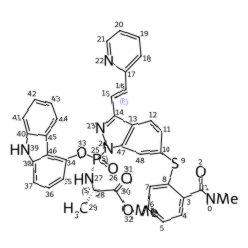 CNC(=O)c1ccccc1Sc1ccc2c(/C=C/c3ccccn3)nn([P@](=O)(N[C@@H](C)C(=O)OC)Oc3cccc4[nH]c5ccccc5c34)c2c1